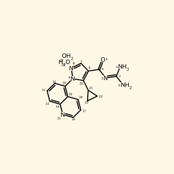 NC(N)=NC(=O)c1cnn(-c2cccc3ncccc23)c1C1CC1.O.O